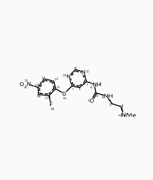 CNCCNC(=O)Nc1cc(Oc2ccc([N+](=O)[O-])cc2F)ncn1